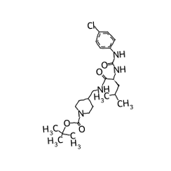 CC(C)C[C@H](NC(=O)Nc1ccc(Cl)cc1)C(=O)NCC1CCN(C(=O)OC(C)(C)C)CC1